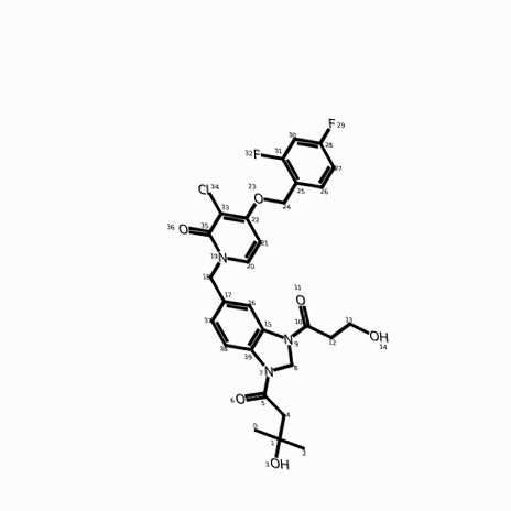 CC(C)(O)CC(=O)N1CN(C(=O)CCO)c2cc(Cn3ccc(OCc4ccc(F)cc4F)c(Cl)c3=O)ccc21